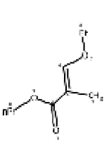 CCCOC(=O)C(C)=COCC